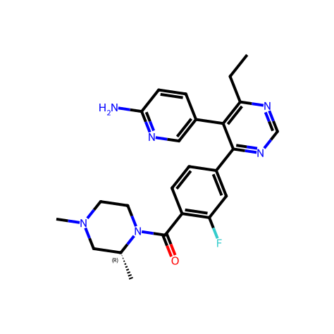 CCc1ncnc(-c2ccc(C(=O)N3CCN(C)C[C@H]3C)c(F)c2)c1-c1ccc(N)nc1